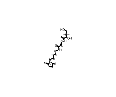 CC(C)(CO)C(O)C(=O)NC=CC(=O)NCCCCCN1C(=O)C=CC1=O